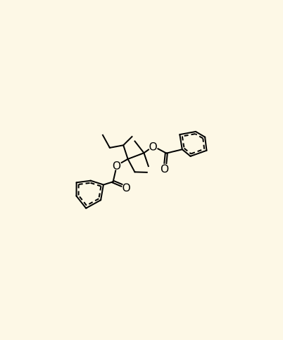 CCC(C)C(CC)(OC(=O)c1ccccc1)C(C)(C)OC(=O)c1ccccc1